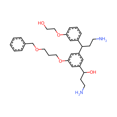 NCCC(O)c1cc(OCCCOCc2ccccc2)cc(C(CCN)c2cccc(OCCO)c2)c1